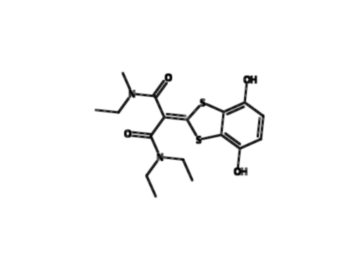 CCN(C)C(=O)C(C(=O)N(CC)CC)=C1Sc2c(O)ccc(O)c2S1